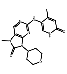 Cc1cc(=O)[nH]cc1Nc1ncc2c(n1)n(C1CCOCC1)c(=O)n2C